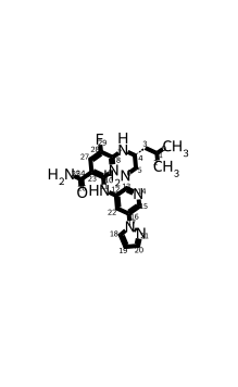 CC(C)C[C@H](CN)Nc1nc(Nc2cncc(-n3cccn3)c2)c(C(N)=O)cc1F